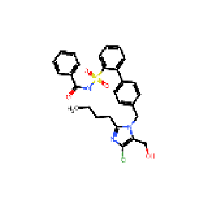 CCCCc1nc(Cl)c(CO)n1Cc1ccc(-c2ccccc2S(=O)(=O)NC(=O)c2ccccc2)cc1